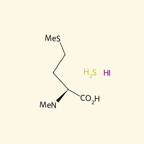 CN[C@@H](CCSC)C(=O)O.I.S